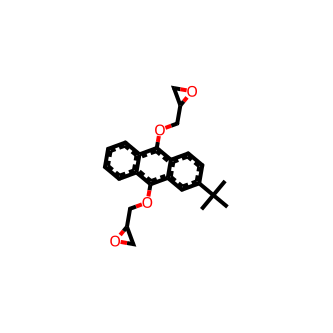 CC(C)(C)c1ccc2c(OCC3CO3)c3ccccc3c(OCC3CO3)c2c1